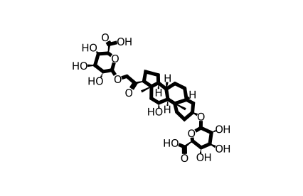 C[C@]12CC[C@H](OC3O[C@H](C(=O)O)[C@@H](O)[C@H](O)[C@H]3O)C[C@H]1CC[C@@H]1[C@@H]2[C@H](O)C[C@]2(C)[C@@H](C(=O)COC3O[C@H](C(=O)O)[C@@H](O)[C@H](O)[C@H]3O)CC[C@@H]12